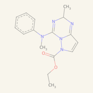 CCOC(=O)N1C=CC2=NC(C)N=C(N(C)c3ccccc3)N21